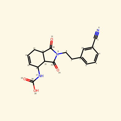 N#Cc1cccc(CCN2C(=O)C3CC=CC(NC(=O)O)C3C2=O)c1